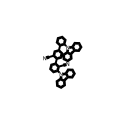 N#Cc1cc(-c2ccccc2-n2c3ccccc3c3ccccc32)ccc1-c1cccc(-n2c3ccccc3c3ccccc32)c1C#N